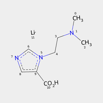 CN(C)CCn1cncc1C(=O)O.[Li]